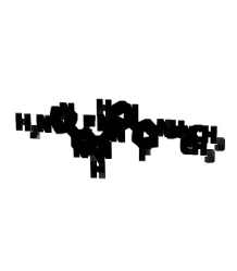 CN(C)CCNc1cc(F)cc(-c2nccc3[nH]c(-c4n[nH]c5ncc(-c6cncc(N)c6)c(F)c45)nc23)c1